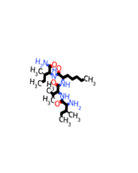 CCCCCC(NC(=O)C(NC(=O)C(N)[C@@H](C)CC)C(C)C)C(=O)NC(C(N)=O)[C@@H](C)CC